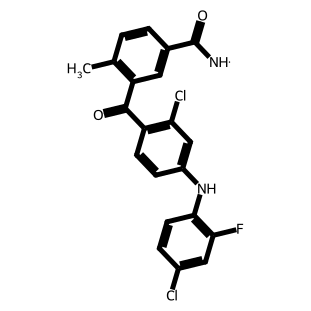 Cc1ccc(C([NH])=O)cc1C(=O)c1ccc(Nc2ccc(Cl)cc2F)cc1Cl